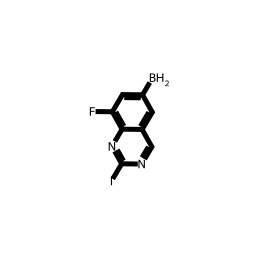 Bc1cc(F)c2nc(I)ncc2c1